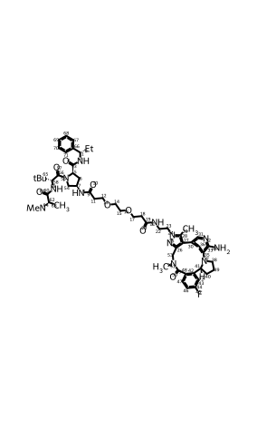 CC[C@H](NC(=O)[C@H]1C[C@@H](NC(=O)CCOCCOCCC(=O)NCCn2nc3c(c2C)-c2cnc(N)c(c2)N2CCC[C@@H]2c2cc(F)ccc2C(=O)N(C)C3)CN1C(=O)[C@H](NC(=O)[C@@H](C)NC)C(C)(C)C)c1ccccc1